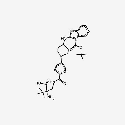 CC(C)(C)OC(=O)n1c(NC2CCN(c3ccc(C(=O)NC[C@](N)(C(=O)O)C(C)(C)C)cc3)CC2)nc2ccccc21